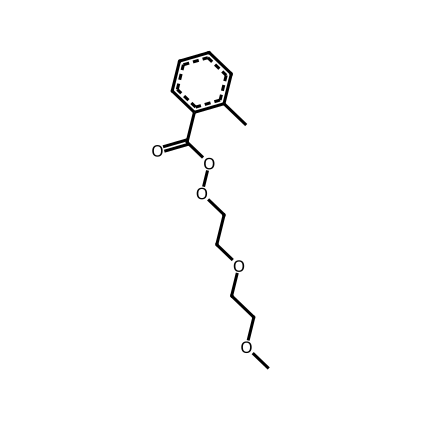 COCCOCCOOC(=O)c1ccccc1C